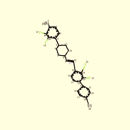 CCCCc1ccc(C2CCC(/C=C/c3ccc(-c4ccc(CC)cc4)c(F)c3F)CC2)c(F)c1F